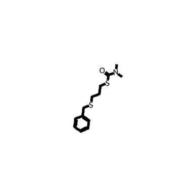 CN(C)C(=O)SCCCSCc1ccccc1